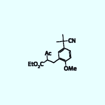 CCOC(=O)C(Cc1cc(C(C)(C)C#N)ccc1OC)C(C)=O